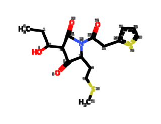 CCC(O)C1C(=O)C(CCSC)N(C(=O)Cc2cccs2)C1=O